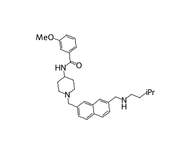 COc1cccc(C(=O)NC2CCN(Cc3ccc4ccc(CNCCC(C)C)cc4c3)CC2)c1